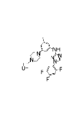 Cc1cc(Nc2ncn(-c3cc(F)c(F)cc3F)n2)cc(N2CCN(C3COC3)CC2)c1